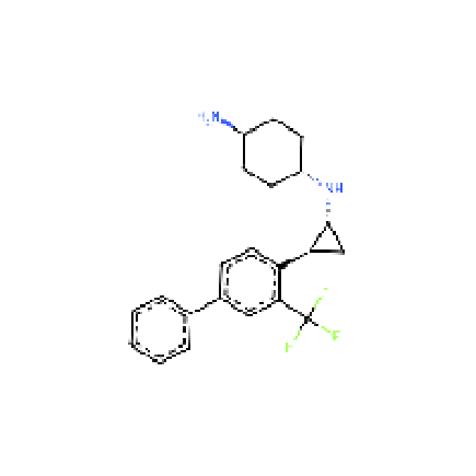 N[C@H]1CC[C@H](N[C@@H]2C[C@H]2c2ccc(-c3ccccc3)cc2C(F)(F)F)CC1